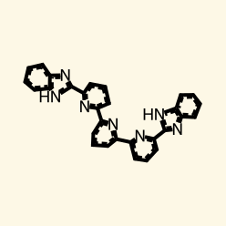 c1cc(-c2cccc(-c3nc4ccccc4[nH]3)n2)nc(-c2cccc(-c3nc4ccccc4[nH]3)n2)c1